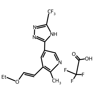 CCO/C=C/c1cc(-c2nnc(C(F)(F)F)[nH]2)cnc1C.O=C(O)C(F)(F)F